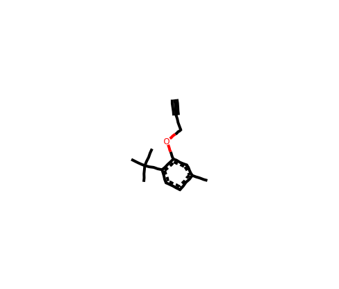 C#CCOc1cc(C)ccc1C(C)(C)C